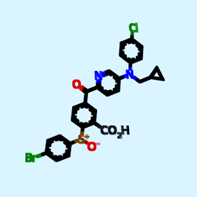 O=C(c1ccc([S+]([O-])c2ccc(Br)cc2)c(C(=O)O)c1)c1ccc(N(CC2CC2)c2ccc(Cl)cc2)cn1